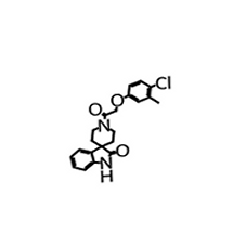 Cc1cc(OCC(=O)N2CCC3(CC2)C(=O)Nc2ccccc23)ccc1Cl